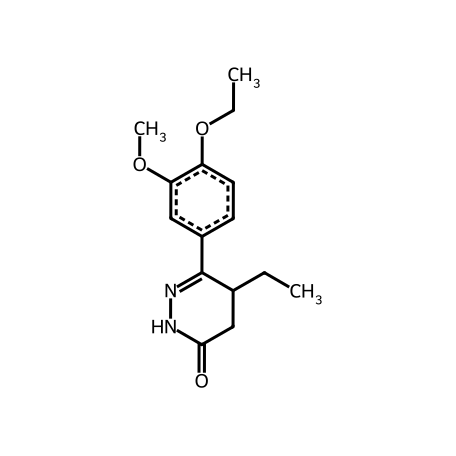 CCOc1ccc(C2=NNC(=O)CC2CC)cc1OC